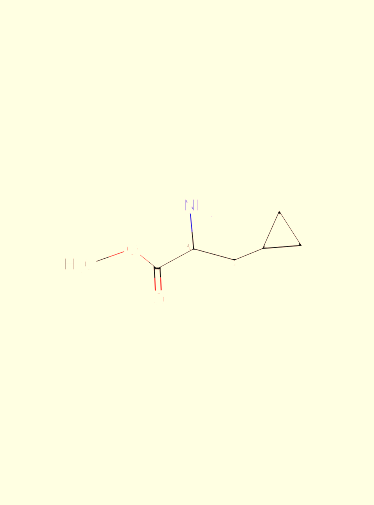 COC(=O)C(N)CC1CC1